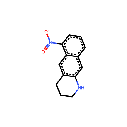 O=[N+]([O-])c1cccc2cc3c(cc12)CCCN3